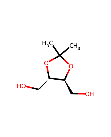 CC1(C)O[C@@H](CO)[C@H](CO)O1